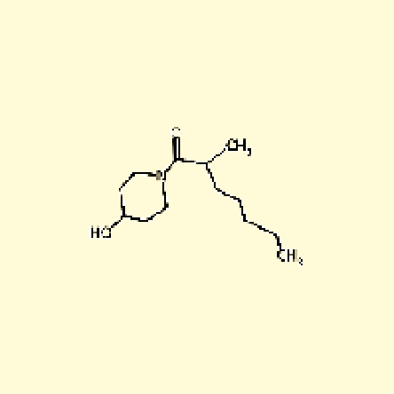 CCCCCC(C)C(=O)N1CCC(O)CC1